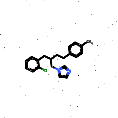 Cc1ccc(CCC(Cc2ccccc2Cl)Cn2ccnc2)cc1